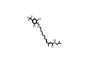 CC(C=CCCCCCCOCc1c(Cl)cc(C(F)(F)F)cc1Cl)=CC(=O)NCC(C)C